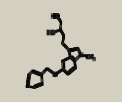 Cn1cc(CCC(O)CO)c2cc(OCc3ccccc3)ccc21